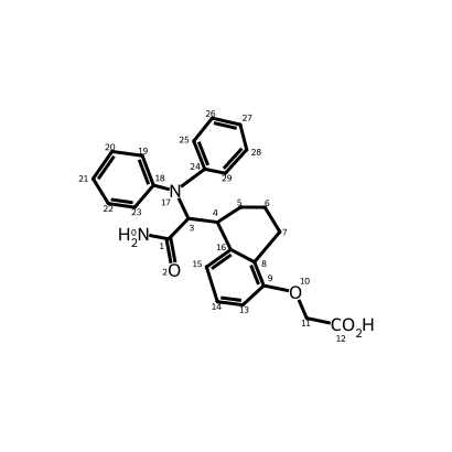 NC(=O)C(C1CCCc2c(OCC(=O)O)cccc21)N(c1ccccc1)c1ccccc1